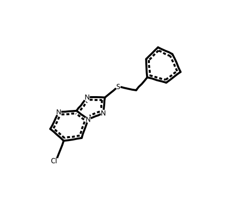 Clc1cnc2nc(SCc3ccccc3)nn2c1